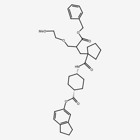 COCCOCC(CC1(C(=O)N[C@H]2CC[C@@H](C(=O)Oc3ccc4c(c3)CCC4)CC2)CCCC1)C(=O)OCc1ccccc1